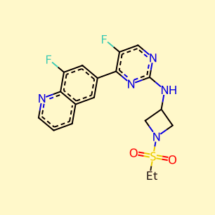 CCS(=O)(=O)N1CC(Nc2ncc(F)c(-c3cc(F)c4ncccc4c3)n2)C1